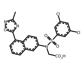 Cc1noc(-c2cccc3cc(N(CC(=O)O)S(=O)(=O)c4cc(Cl)cc(Cl)c4)ccc23)n1